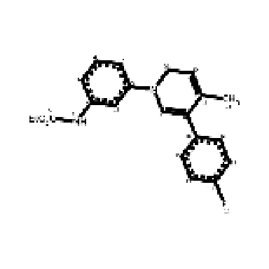 CCOC(=O)Nc1cccc(N2C=C(c3ccc(F)cc3)C(C)=CC2)c1